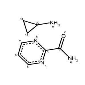 NC(=O)c1ncccn1.NC1CC1